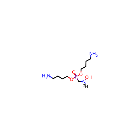 [2H]N(O)CP(=O)(OCCCCN)OCCCCN